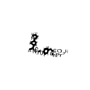 CCCOC(Cc1ccc(OCCON=C(C)c2ccc(-c3ccccn3)cc2)cc1)C(=O)O